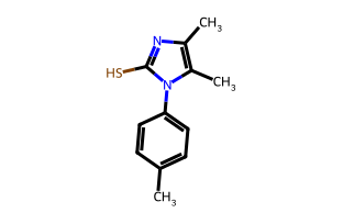 Cc1ccc(-n2c(S)nc(C)c2C)cc1